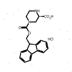 Cl.O=C(O)[C@H]1CN(C(=O)OCC2c3ccccc3-c3ccccc32)CCN1